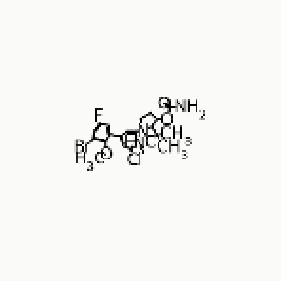 COc1c(Br)cc(F)cc1-c1cc(Cl)nc(N2CCC(OC(N)=O)C2C(C)(C)C)c1